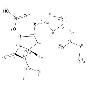 C[C@@H](O)[C@H]1C(=O)N2C(OC(=O)O)=C(S[C@@H]3CN[C@H](CC(O)CN)C3)C[C@H]12